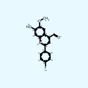 COc1cc2c(C=O)cc(-c3ccc(F)cc3)nc2cc1O